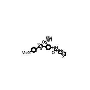 CNc1ccc(-c2ncc(-c3ccc(NC(=O)NCc4nccs4)cc3[S+]([O-])NC(C)(C)C)s2)cc1